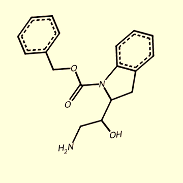 NCC(O)C1Cc2ccccc2N1C(=O)OCc1ccccc1